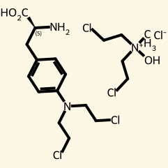 C[N+](O)(CCCl)CCCl.N[C@@H](Cc1ccc(N(CCCl)CCCl)cc1)C(=O)O.[Cl-]